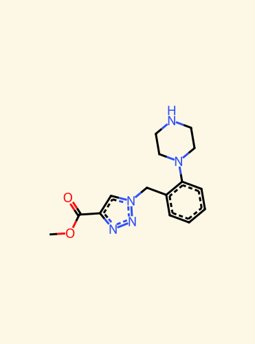 COC(=O)c1cn(Cc2ccccc2N2CCNCC2)nn1